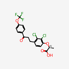 C[C@H](Oc1ccc(CCC(=O)c2ccc(OC(F)(F)F)cc2)c(Cl)c1Cl)C(=O)O